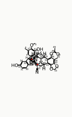 COc1c(C)cc2c(c1O)[C@H]1NC(C2)[C@H](C#N)N2C1[C@@H]1SC[C@]3(NCCc4c3[nH]c3ccc(O)cc43)C(=O)OC[C@H]2c2c3c(c(C)c(OC(C)=O)c21)OCO3